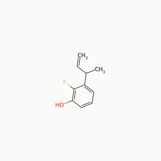 C=C[C](C)c1cccc(O)c1F